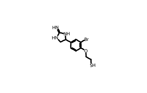 N=C1NCC(c2ccc(OCCS)c(Br)c2)N1